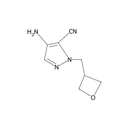 N#Cc1c(N)cnn1CC1COC1